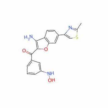 Cc1nc(-c2ccc3c(N)c(C(=O)c4cccc(NO)c4)oc3c2)cs1